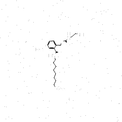 CCCCCCCCCCCCCCCCCCNC(=O)c1ccccc1COC(=O)NCCN.Cl